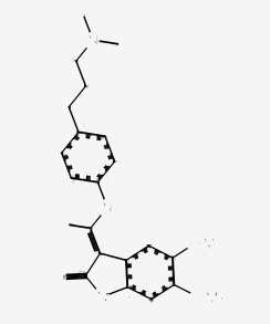 CCC(Nc1ccc(CCCN(C)C)cc1)=C1C(=O)Nc2cc(OC)c(OC)cc21